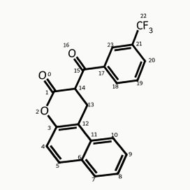 O=C1Oc2ccc3ccccc3c2CC1C(=O)c1cccc(C(F)(F)F)c1